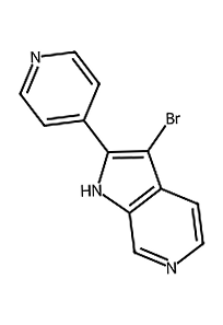 Brc1c(-c2ccncc2)[nH]c2cnccc12